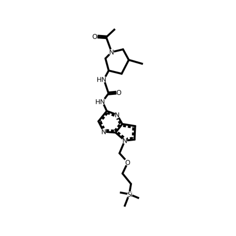 CC(=O)N1CC(C)CC(NC(=O)Nc2cnc3c(ccn3COCC[Si](C)(C)C)n2)C1